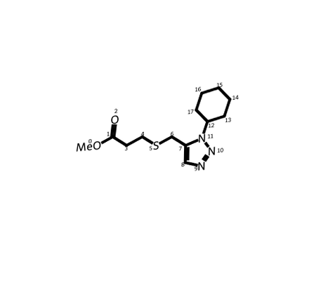 COC(=O)CCSCc1cnnn1C1CCCCC1